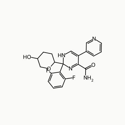 NC(=O)C1=NC(c2c(F)cccc2F)(C2CCC(O)CO2)NC=C1c1cccnc1